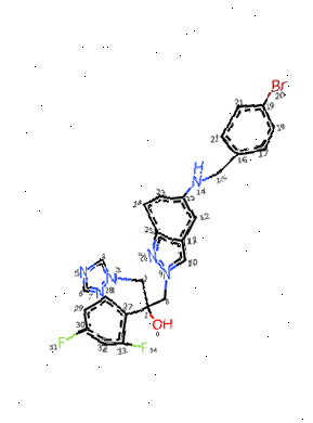 OC(Cn1cncn1)(Cn1cc2cc(NCc3ccc(Br)cc3)ccc2n1)c1ccc(F)cc1F